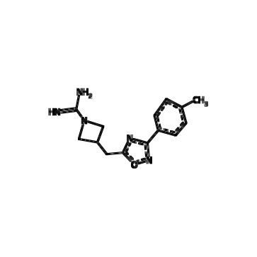 Cc1ccc(-c2noc(CC3CN(C(=N)N)C3)n2)cc1